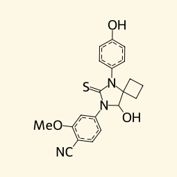 COc1cc(N2C(=S)N(c3ccc(O)cc3)C3(CCC3)C2O)ccc1C#N